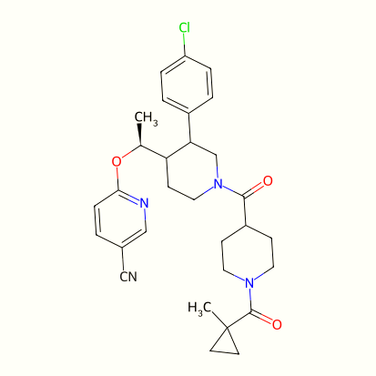 C[C@H](Oc1ccc(C#N)cn1)C1CCN(C(=O)C2CCN(C(=O)C3(C)CC3)CC2)CC1c1ccc(Cl)cc1